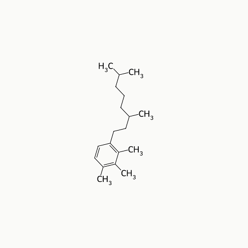 Cc1ccc(CCC(C)CCCC(C)C)c(C)c1C